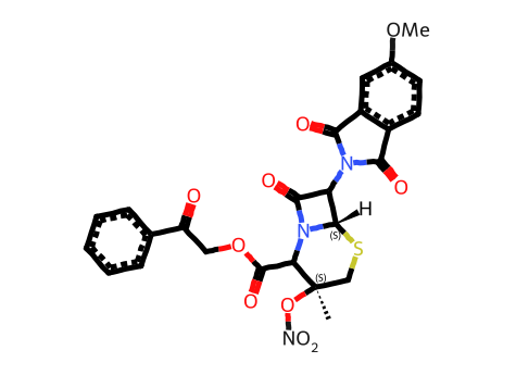 COc1ccc2c(c1)C(=O)N(C1C(=O)N3C(C(=O)OCC(=O)c4ccccc4)[C@](C)(O[N+](=O)[O-])CS[C@@H]13)C2=O